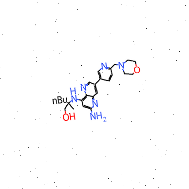 CCCCC(C)(CO)Nc1cc(N)nc2cc(-c3ccc(CN4CCOCC4)nc3)cnc12